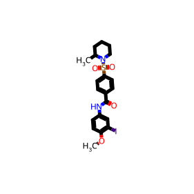 COc1ccc(NC(=O)c2ccc(S(=O)(=O)N3CCCCC3C)cc2)cc1I